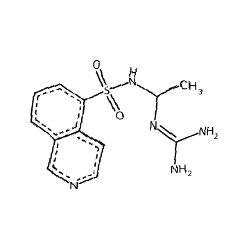 CC(N=C(N)N)NS(=O)(=O)c1cccc2cnccc12